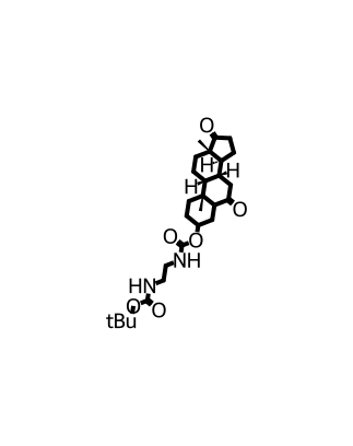 CC(C)(C)OC(=O)NCCNC(=O)OC1CC[C@@]2(C)C(C1)C(=O)C[C@@H]1[C@H]2CC[C@]2(C)C(=O)CC[C@@H]12